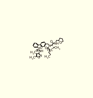 CCCCC(=O)N(Cc1ccc(-c2ccccc2S(=O)(=O)Nc2noc(C)c2C)cc1)[C@H](C(=O)NCC1CCCO1)C(C)C